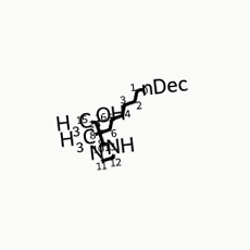 CCCCCCCCCCCCCCCCC(C)(C1=NCCN1)C(C)O